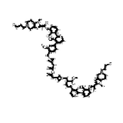 COc1nc(-c2ccnc(-c3cccc(NC(=O)c4nc5c(n4C)CCN(CCCF)C5)c3Cl)c2Cl)ccc1CN1CC(CC(=O)OC(=O)CC2CN(Cc3ccc(-c4ccnc(-c5cccc(NC(=O)c6nc7c(n6C)CCN(CCCF)C7)c5Cl)c4Cl)nc3OC)C2)C1